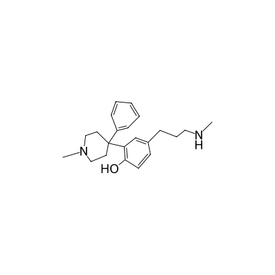 CNCCCc1ccc(O)c(C2(c3ccccc3)CCN(C)CC2)c1